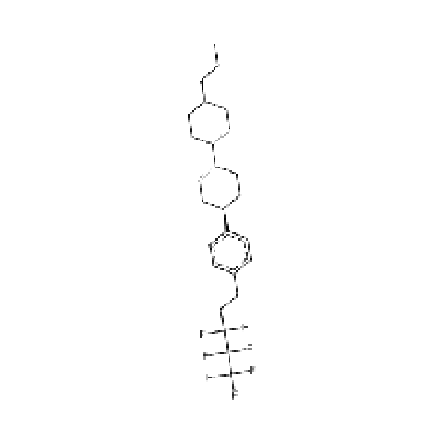 CCC[C@H]1CC[C@H]([C@H]2CC[C@H](c3ccc(CCC(F)(F)C(F)(F)C(F)(F)F)cc3)CC2)CC1